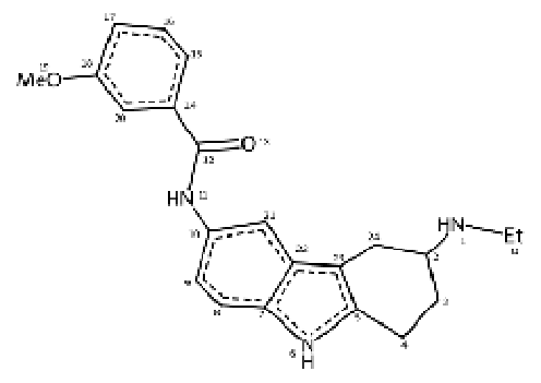 CCNC1CCc2[nH]c3ccc(NC(=O)c4cccc(OC)c4)cc3c2C1